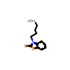 CCCCCCCCCCCCn1c(=S)sc2ccccc21